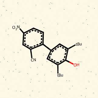 CC(C)(C)c1cc(-c2ccc([N+](=O)[O-])cc2C#N)cc(C(C)(C)C)c1O